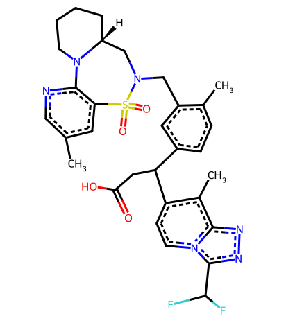 Cc1cnc2c(c1)S(=O)(=O)N(Cc1cc(C(CC(=O)O)c3ccn4c(C(F)F)nnc4c3C)ccc1C)C[C@H]1CCCCN21